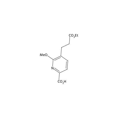 CCOC(=O)CCc1ccc(C(=O)O)nc1OC